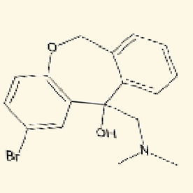 CN(C)CC1(O)c2ccccc2COc2ccc(Br)cc21